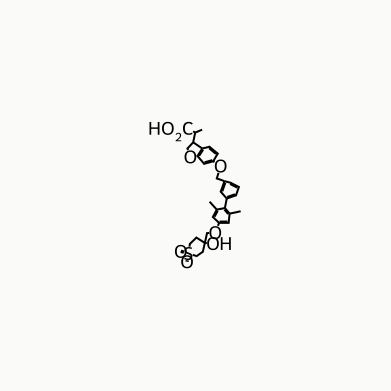 Cc1cc(OCC2(O)CCS(=O)(=O)CC2)cc(C)c1-c1cccc(COc2ccc3c(c2)OCC3C(C)C(=O)O)c1